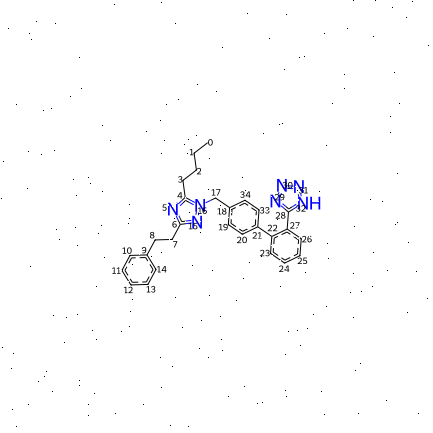 CCCCc1nc(CCc2ccccc2)nn1Cc1ccc(-c2ccccc2-c2nnn[nH]2)cc1